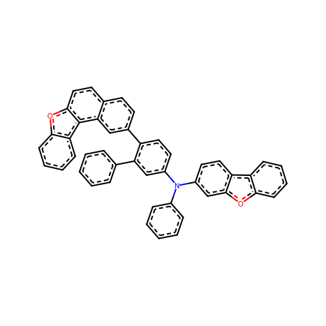 c1ccc(-c2cc(N(c3ccccc3)c3ccc4c(c3)oc3ccccc34)ccc2-c2ccc3ccc4oc5ccccc5c4c3c2)cc1